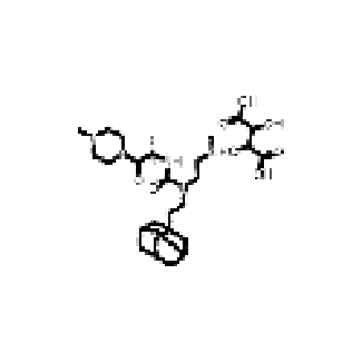 CSCCN(CCC12CC3CC(CC(C3)C1)C2)C(=O)N[C@@H](C)C(=O)N1CCN(C)CC1.O=C(O)C(O)C(O)C(=O)O